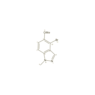 COc1ccc2c(cnn2C)c1Br